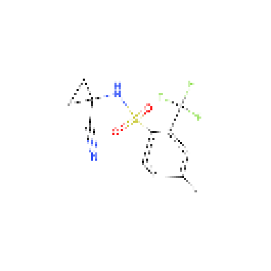 Cc1ccc(S(=O)(=O)NC2(C#N)CC2)c(C(F)(F)F)c1